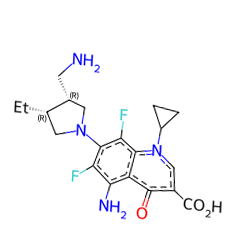 CC[C@H]1CN(c2c(F)c(N)c3c(=O)c(C(=O)O)cn(C4CC4)c3c2F)C[C@H]1CN